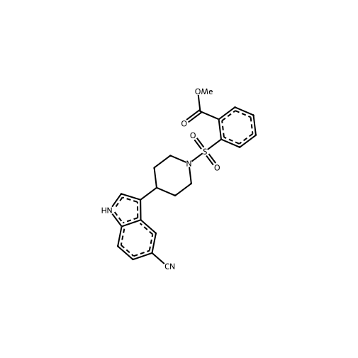 COC(=O)c1ccccc1S(=O)(=O)N1CCC(c2c[nH]c3ccc(C#N)cc23)CC1